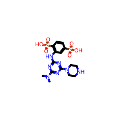 CN(C)c1nc(Nc2cc(S(=O)(=O)O)ccc2S(=O)(=O)O)nc(N2CCNCC2)n1